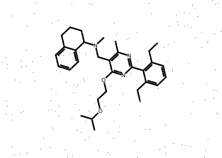 CCc1cccc(CC)c1-c1nc(C)c(CN(C)C2CCCc3ccccc32)c(OCCOC(C)C)n1